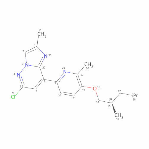 Cc1cn2nc(Cl)cc(-c3ccc(OC[C@H](C)CC(C)C)c(C)n3)c2n1